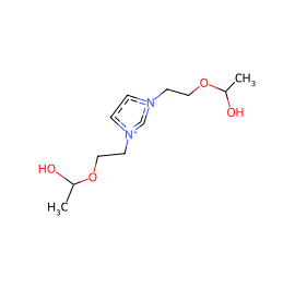 CC(O)OCCn1cc[n+](CCOC(C)O)c1